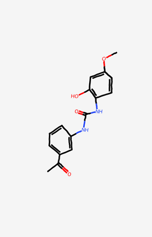 COc1ccc(NC(=O)Nc2cccc(C(C)=O)c2)c(O)c1